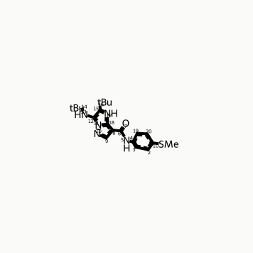 CSc1ccc(NC(=O)c2cnn3c(NC(C)(C)C)c(C(C)(C)C)[nH]c23)cc1